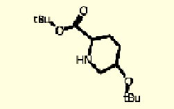 CC(C)(C)OC(=O)C1CCC(OC(C)(C)C)CN1